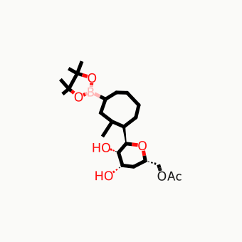 CC(=O)OC[C@@H]1C[C@H](O)[C@H](O)[C@@H](C2CCCCC(B3OC(C)(C)C(C)(C)O3)CC2C)O1